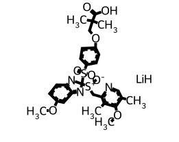 COc1ccc2c(c1)=NC([S+]([O-])Cc1ncc(C)c(OC)c1C)(S(=O)(=O)c1ccc(OCC(C)(C)C(=O)O)cc1)N=2.[LiH]